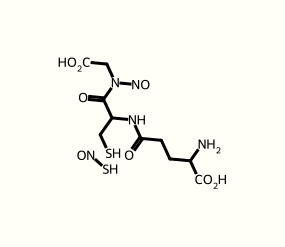 NC(CCC(=O)NC(CS)C(=O)N(CC(=O)O)N=O)C(=O)O.O=NS